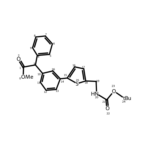 COC(=O)C(c1ccccc1)c1cccc(-c2ccc(CNC(=O)OC(C)(C)C)s2)c1